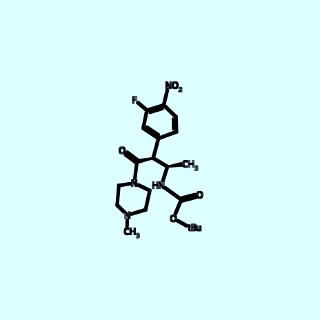 C[C@@H](NC(=O)OC(C)(C)C)[C@@H](C(=O)N1CCN(C)CC1)c1ccc([N+](=O)[O-])c(F)c1